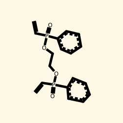 C=CP(=O)(OCCOP(=O)(C=C)c1ccccc1)c1ccccc1